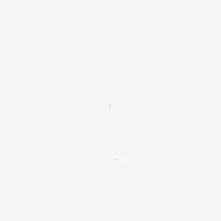 CCCCCCCCPO.Cl